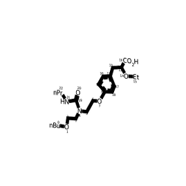 CCCCOCCN(CCOc1ccc(CC(OCC)C(=O)O)cc1)C(=O)NCCC